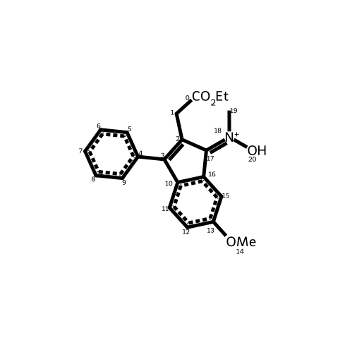 CCOC(=O)CC1=C(c2ccccc2)c2ccc(OC)cc2/C1=[N+](/C)O